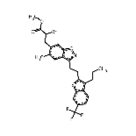 CCCc1c(CCc2noc3cc(CC(Br)C(=O)OC)c(C)cc23)sc2cc(C(F)(F)F)ccc12